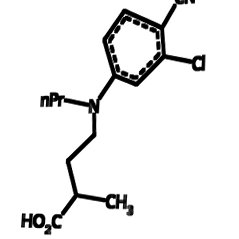 CCCN(CCC(C)C(=O)O)c1ccc(C#N)c(Cl)c1